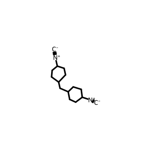 [C-]#[N+]C1CCC(CC2CCC([N+]#[C-])CC2)CC1